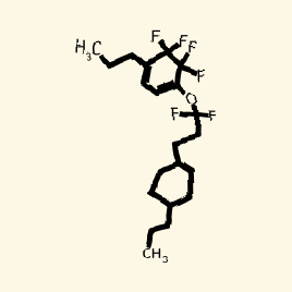 CCCC1=CC=C(OC(F)(F)CCC2CCC(CCC)CC2)C(F)(F)C1(F)F